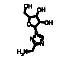 NCc1ncn(C2OC(CO)C(O)C2O)n1